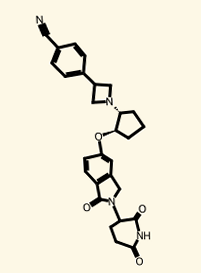 N#Cc1ccc(C2CN([C@@H]3CCC[C@H]3Oc3ccc4c(c3)CN(C3CCC(=O)NC3=O)C4=O)C2)cc1